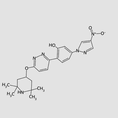 CC1(C)CC(Oc2ccc(-c3ccc(-n4cc([N+](=O)[O-])cn4)cc3O)nn2)CC(C)(C)N1